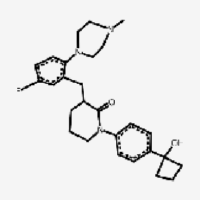 CN1CCN(c2ccc(F)cc2CC2CCCN(c3ccc(C4(O)CCC4)cc3)C2=O)CC1